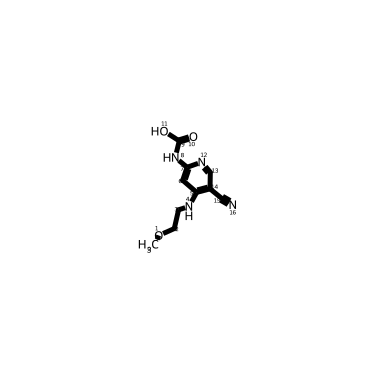 COCCNc1cc(NC(=O)O)ncc1C#N